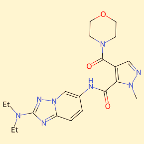 CCN(CC)c1nc2ccc(NC(=O)c3c(C(=O)N4CCOCC4)cnn3C)cn2n1